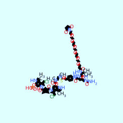 Cc1c[nH]c2c(OC(=O)N(C)CCN(C)C(=S)OCc3ccc(NC(=O)C(CCCNC(N)=O)NC(=O)C(NC(=O)CCOCCOCCOCCOCCOCCOCCN4C(=O)C=CC4=O)C(C)C)cc3)cc3c(c12)C(CCl)CN3C(=O)C12CC3(C(=O)N4CC(CCl)c5c4cc(OP(O)O)c4[nH]cc(C)c54)CC13C2